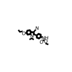 CCCOc1ccc2c(C#N)c(-c3ccc(NC(=O)OCC)cc3)n(C(C)C)c2c1